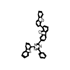 c1ccc(-c2nc(-c3ccc4c(c3)oc3c(-c5cccc6c5oc5ccccc56)cccc34)nc(-c3cccc4c3sc3ccccc34)n2)cc1